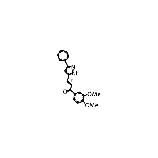 COc1ccc(C(=O)/C=C/c2cc(-c3ccccc3)n[nH]2)cc1OC